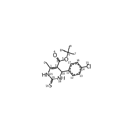 CC1=C(C(=O)OC(C)(C)C)C(c2ccc(Cl)cc2)NC(=S)N1